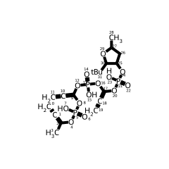 C=C=C(C)OP(=O)(O)OC(=C=C)OP(=O)(O)OC(=C=C)OP(=O)(O)OC1CC(C)OC1C(C)(C)C